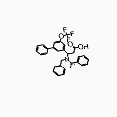 C[C@H](c1ccccc1)N(Cc1ccccc1)C(CC(=O)O)c1cc(OC(F)(F)F)cc(-c2ccccc2)c1